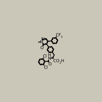 Cn1ncc(-c2cccc(C(F)(F)F)c2)c(-c2ccc(C[C@H](NC(=O)c3c(Cl)cccc3Cl)C(=O)O)cc2)c1=O